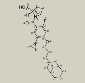 O=C(O)[C@@H]1C2CC(C2)N1C(=O)c1cc(C2CC2)c(OCCCC2CC3CCCC(C2)C3)cc1F